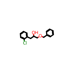 OC(COCc1ccccc1)Cc1ccccc1Cl